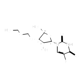 CCOCO[C@H]1[C@@H](O)[C@H](n2cc(F)c(=O)[nH]c2=O)O[C@@H]1C